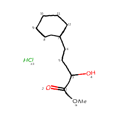 COC(=O)C(O)CCC1CCCCC1.Cl